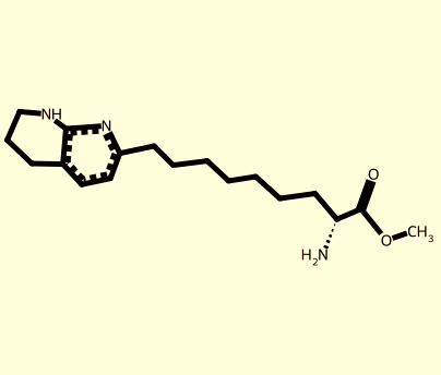 COC(=O)[C@H](N)CCCCCCCc1ccc2c(n1)NCCC2